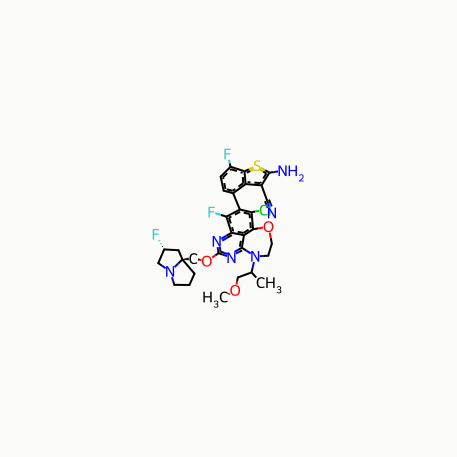 COCC(C)N1CCOc2c(Cl)c(-c3ccc(F)c4sc(N)c(C#N)c34)c(F)c3nc(OC[C@@]45CCCN4C[C@H](F)C5)nc1c23